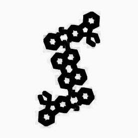 CCC1(CC)c2ccccc2-c2cc3c(cc21)N(c1ccc2c4cccc5c(N6c7ccccc7Sc7cc8c(cc76)C(CC)(CC)c6ccccc6-8)ccc(c6cccc1c62)c54)c1ccccc1S3